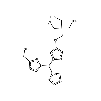 NCc1ccn(C(n2cccn2)n2cc(NCC(CN)(CN)CN)cn2)n1